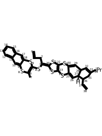 C=CC/C(SC1=C(C)Sc2cc3ccccc3cc2S1)=C1\SC2=C(SC3=C[C@@H]4C(C=C3S2)C=C(C(C)C)CC4C=C)S1